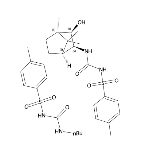 CCCCNC(=O)NS(=O)(=O)c1ccc(C)cc1.Cc1ccc(S(=O)(=O)NC(=O)N[C@H]2[C@H]3CC[C@@](C)([C@H]2O)C3(C)C)cc1